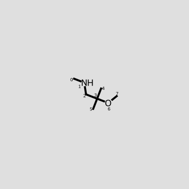 CNCC(C)(C)OC